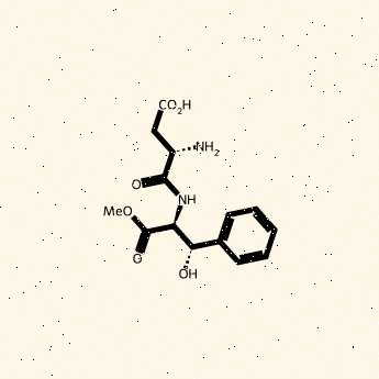 COC(=O)[C@@H](NC(=O)[C@@H](N)CC(=O)O)[C@@H](O)c1ccccc1